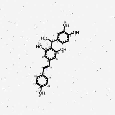 CC(c1ccc(O)c(O)c1)c1c(O)cc(/C=C/c2ccc(O)cc2)cc1O